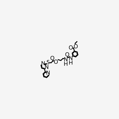 CCOC(=O)c1cccc(NC(=O)NCCCOC(=O)CSc2nccc(-c3ccccn3)n2)c1